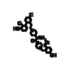 CCSc1ccc(O)cc1CN1CCN(C(=O)[C@H](N)C2CCN(CCc3cc(Cl)ccc3-c3cccc(O)c3Cl)CC2)CC1